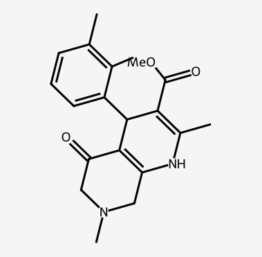 COC(=O)C1=C(C)NC2=C(C(=O)CN(C)C2)C1c1cccc(C)c1C